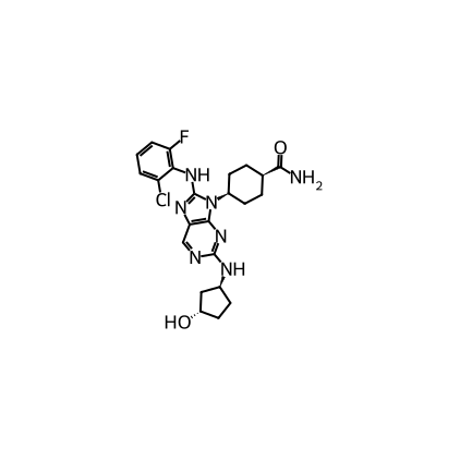 NC(=O)[C@H]1CC[C@@H](n2c(Nc3c(F)cccc3Cl)nc3cnc(N[C@H]4CC[C@H](O)C4)nc32)CC1